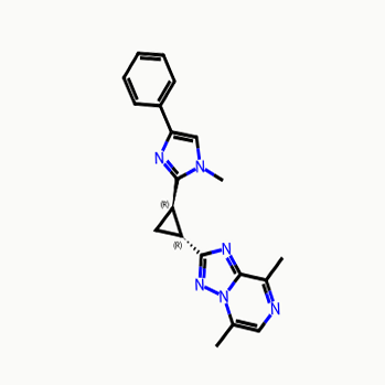 Cc1ncc(C)n2nc([C@@H]3C[C@H]3c3nc(-c4ccccc4)cn3C)nc12